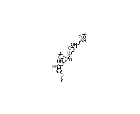 C=CCOc1ccc2[nH]cc(C[C@@H](COC(=O)NCCCN(CCCCNC(=O)OC(C)(C)C)C(=O)O)NC(=O)OC(C)(C)C)c2c1